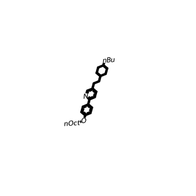 CCCCCCCCOc1ccc(-c2ccc(CCC3CCC(CCCC)CC3)cn2)cc1